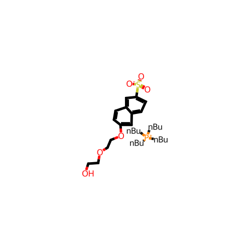 CCCC[P+](CCCC)(CCCC)CCCC.O=S(=O)([O-])c1ccc2cc(OCCOCCO)ccc2c1